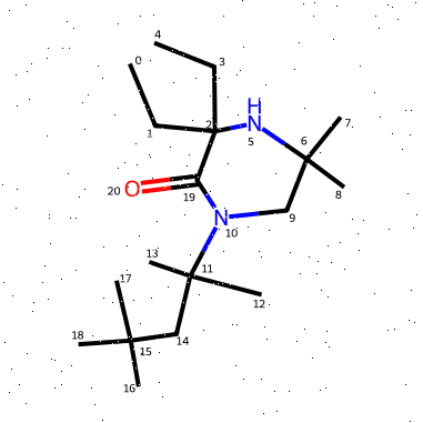 CCC1(CC)NC(C)(C)CN(C(C)(C)CC(C)(C)C)C1=O